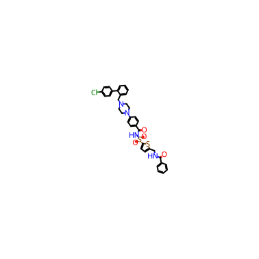 O=C(NCc1ccc(S(=O)(=O)NC(=O)c2ccc(N3CCN(Cc4ccccc4-c4ccc(Cl)cc4)CC3)cc2)s1)c1ccccc1